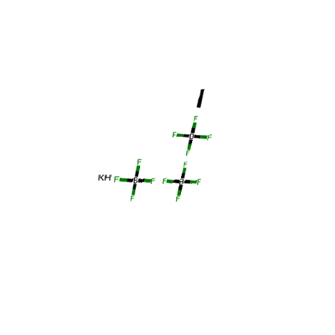 CC.F[B-](F)(F)F.F[B-](F)(F)F.F[B-](F)(F)F.[KH]